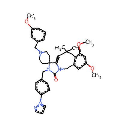 COc1cccc(CN2CCC3(CC2)C2=CC(C)(C)c4c(cc(OC)cc4OC)CN2C(=O)N3Cc2ccc(-n3cccn3)cc2)c1